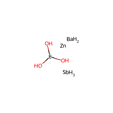 OB(O)O.[BaH2].[SbH3].[Zn]